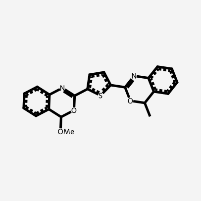 COC1OC(c2ccc(C3=Nc4ccccc4C(C)O3)s2)=Nc2ccccc21